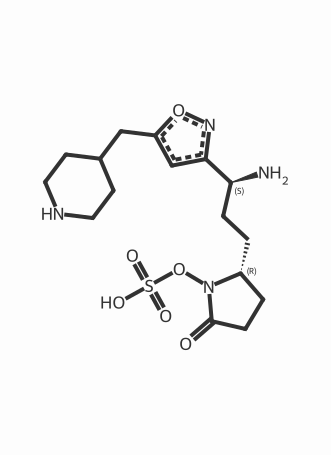 N[C@@H](CC[C@@H]1CCC(=O)N1OS(=O)(=O)O)c1cc(CC2CCNCC2)on1